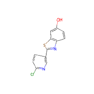 Oc1ccc2nc(-c3ccc(Cl)nc3)sc2c1